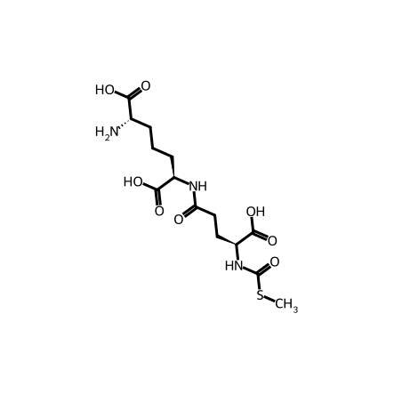 CSC(=O)N[C@@H](CCC(=O)N[C@H](CCC[C@H](N)C(=O)O)C(=O)O)C(=O)O